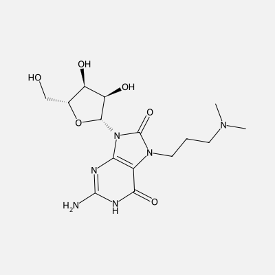 CN(C)CCCn1c(=O)n([C@@H]2O[C@H](CO)[C@@H](O)[C@H]2O)c2nc(N)[nH]c(=O)c21